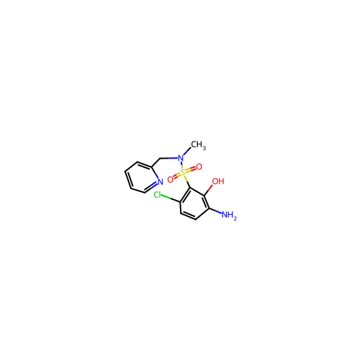 CN(Cc1ccccn1)S(=O)(=O)c1c(Cl)ccc(N)c1O